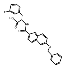 O=C(N[C@@H](Cc1cccc(F)c1)C(=O)O)c1ccc2cc(OCc3ccccc3)ccc2c1